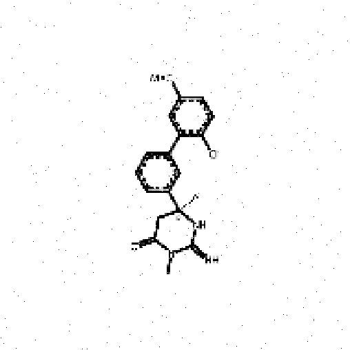 COc1ccc(Cl)c(-c2cccc([C@]3(C)CC(=O)N(C)C(=N)N3)c2)c1